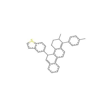 Cc1ccc(C2=c3ccc4c(c3CCC2C)C(c2ccc3sccc3c2)C=c2ccccc2=4)cc1